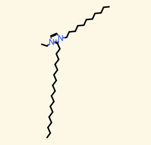 CCCCCCCCCCCCCCCCCCc1n(CCCCCCCCCCC)cc[n+]1CC